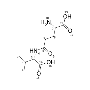 CC(C)[C@H](NC(=O)CC[C@H](N)C(=O)O)C(=O)O